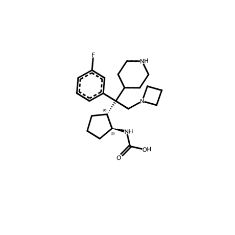 O=C(O)N[C@H]1CCC[C@@H]1C(CN1CCC1)(c1cccc(F)c1)C1CCNCC1